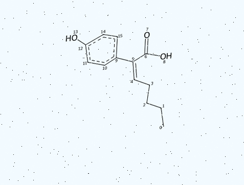 CCCCC=C(C(=O)O)c1ccc(O)cc1